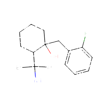 CCC(N)(CC)C1CCCCC1(O)Cc1ccccc1F